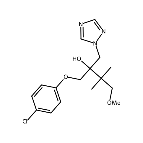 COCC(C)(C)C(O)(COc1ccc(Cl)cc1)Cn1cncn1